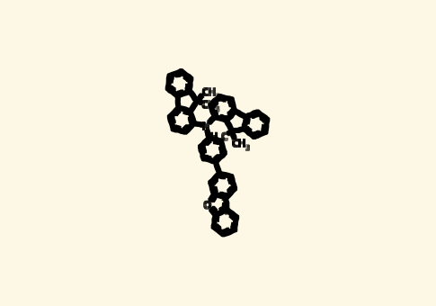 CC1(C)c2ccccc2-c2cccc(N(c3ccc(-c4ccc5c(c4)oc4ccccc45)cc3)c3cccc4c3C(C)(C)c3ccccc3-4)c21